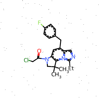 CCc1ncc2c(Cc3ccc(F)cc3)cc3c(n12)C(C)(C)CN3C(=O)CCl